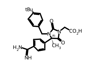 CC(C)(C)c1ccc(CN2C(=O)N(CC(=O)O)C(=O)[C@@]2(C)c2ccc(C(=N)N)cc2)cc1